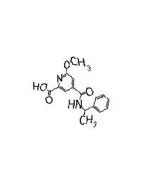 COc1cc(C(=O)N[C@H](C)c2ccccc2)cc(C(=O)O)n1